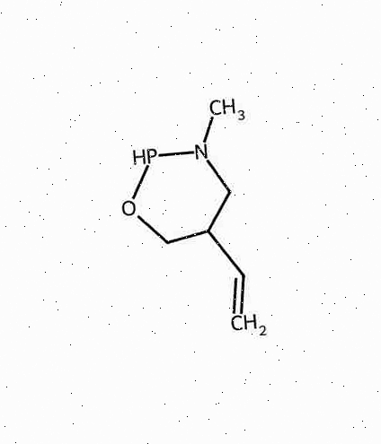 C=CC1COPN(C)C1